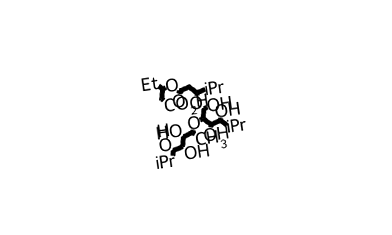 CCC(CC(=O)O)OC(=O)CC(OC(O)C(OC(C)C(O)C(O)C(O)C(C)C)C(O)C(O)C(C)C)C(C)C